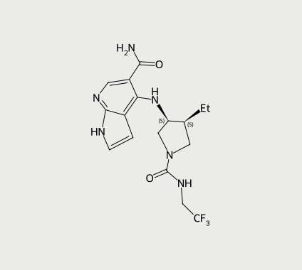 CC[C@H]1CN(C(=O)NCC(F)(F)F)C[C@H]1Nc1c(C(N)=O)cnc2[nH]ccc12